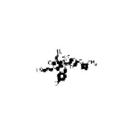 CCn1c(=O)n(CCCO)c(=O)c2c1nc(-c1ncc(OC3CCC3C)nc1C)n2Cc1ccc(Cl)cc1